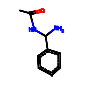 CC(=O)NC(N)c1cc[c]cc1